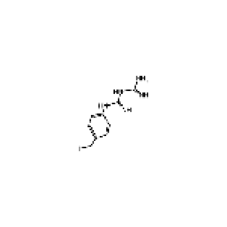 N=C(N)NC(=N)Nc1ccc(CI)cc1